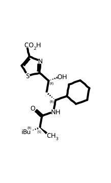 CC[C@@H](C)[C@H](C)C(=O)N[C@H](C[C@@H](O)c1nc(C(=O)O)cs1)C1CCCCC1